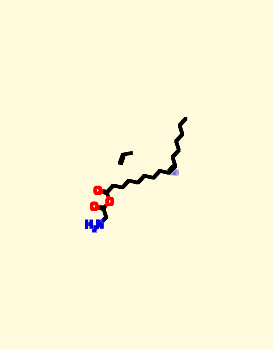 C=CC.CCCCCC/C=C\CCCCCCCC(=O)OC(=O)CN